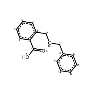 O=C(O)c1ccccc1COCc1ccccc1